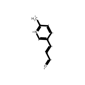 Cc1ccc(/C=C/C=O)cn1